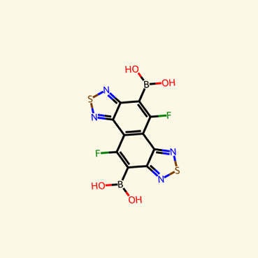 OB(O)c1c(F)c2c3nsnc3c(B(O)O)c(F)c2c2nsnc12